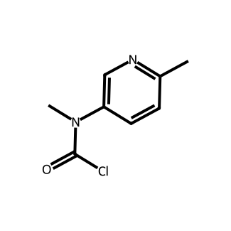 Cc1ccc(N(C)C(=O)Cl)cn1